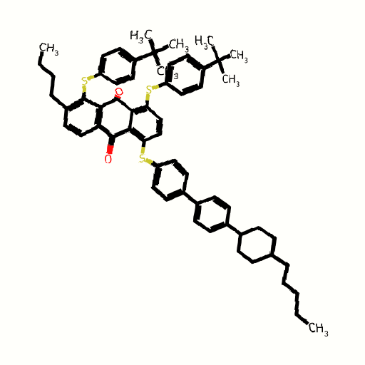 CCCCCC1CCC(c2ccc(-c3ccc(Sc4ccc(Sc5ccc(C(C)(C)C)cc5)c5c4C(=O)c4ccc(CCCC)c(Sc6ccc(C(C)(C)C)cc6)c4C5=O)cc3)cc2)CC1